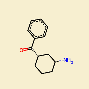 N[C@@H]1CCC[C@H](C(=O)c2ccccc2)C1